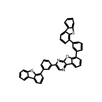 c1cc(-c2cnc3c(n2)oc2c(-c4cccc(-c5cccc6c5sc5ccccc56)c4)cccc23)cc(-c2cccc3c2sc2ccccc23)c1